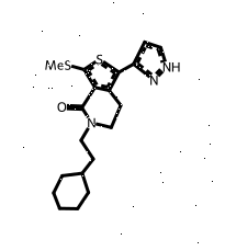 CSc1sc(-c2cc[nH]n2)c2c1C(=O)N(CCC1CCCCC1)CC2